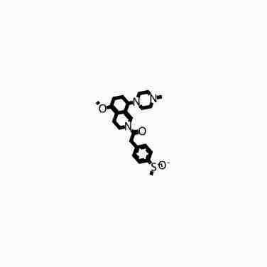 COC1=C2CCN(C(=O)Cc3ccc([S+](C)[O-])cc3)C=C2C(N2CCN(C)CC2)CC1